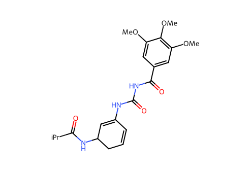 COc1cc(C(=O)NC(=O)NC2=CC(NC(=O)C(C)C)CC=C2)cc(OC)c1OC